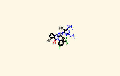 N#Cc1c(N)nc(N)nc1N[C@H](c1nc2cccc(C#N)c2c(=O)n1-c1cc(F)cc(C(F)F)c1)C1CC1